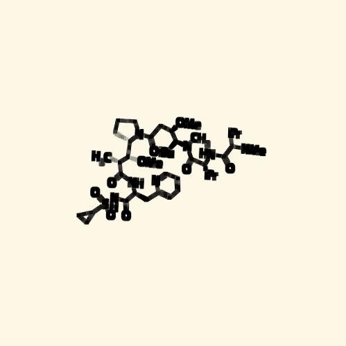 CC[C@H](C)[C@@H]([C@@H](CC(=O)N1CCC[C@H]1[C@H](OC)[C@@H](C)C(=O)N[C@@H](Cc1ccccn1)C(=O)NS(=O)(=O)C1CC1)OC)N(C)C(=O)[C@@H](NC(=O)C(NC)C(C)C)C(C)C